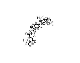 CC1(C(=O)N2CCN(CS(=O)(=O)c3ccc(B4OC(C)(C)C(C)(C)O4)cc3)C(=O)C2)CCC1